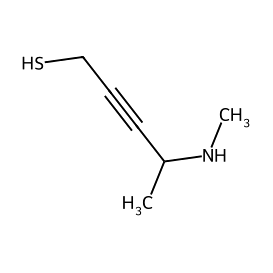 CNC(C)C#CCS